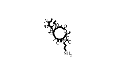 C=C1C(=O)[C@H](C)C[C@@](C)(OC)[C@H](O[C@H](OCC)C(OC)C(CC)N(C)C)[C@@H](C)C(=O)[C@@H](C)C(=O)O[C@H](CC)[C@@]2(C)OC(=O)N(CCCCN)[C@H]12